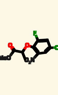 COC(=O)C(C)Oc1c(F)cc(Cl)cc1[N+](=O)[O-]